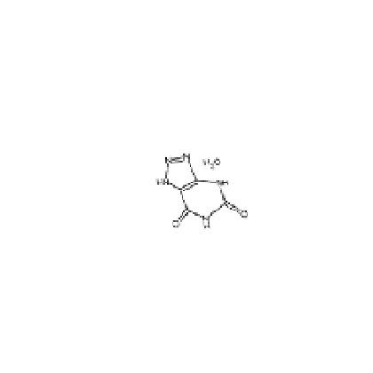 O.O=c1[nH]c(=O)c2[nH]nnc2[nH]1